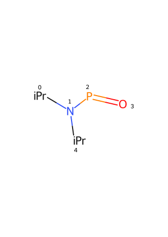 CC(C)N(P=O)C(C)C